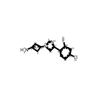 NC12CC(n3cnc(-c4ccc(Cl)cc4F)c3)(C1)C2